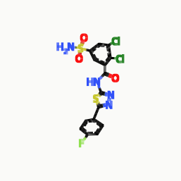 NS(=O)(=O)c1cc(Cl)c(Cl)c(C(=O)Nc2nnc(-c3ccc(F)cc3)s2)c1